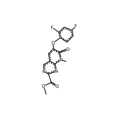 COC(=O)c1ncc2cc(Oc3ccc(F)cc3F)c(=O)n(C)c2n1